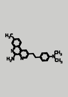 Cc1ccc2c(c1)nc(N)c1ncc(CCc3ccc(N(C)C)cc3)cc12